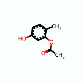 CC(=O)Oc1cc(O)ccc1C